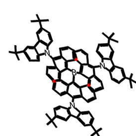 CC(C)(C)c1ccc2c(c1)c1cc(C(C)(C)C)ccc1n2-c1c2ccccc2c(B(c2c3ccccc3c(-n3c4ccc(C(C)(C)C)cc4c4cc(C(C)(C)C)ccc43)c3ccccc23)c2c3ccccc3c(-n3c4ccc(C(C)(C)C)cc4c4cc(C(C)(C)C)ccc43)c3ccccc23)c2ccccc12